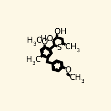 CCOc1ccc(Cc2cc(C3SC(C)CC(O)C3O)c(OC)cc2C)cc1